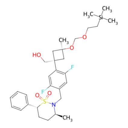 C[C@H]1CC[C@H](c2ccccc2)S(=O)(=O)N1Cc1cc(F)c([C@]2(CO)C[C@](C)(OCOCC[Si](C)(C)C)C2)cc1F